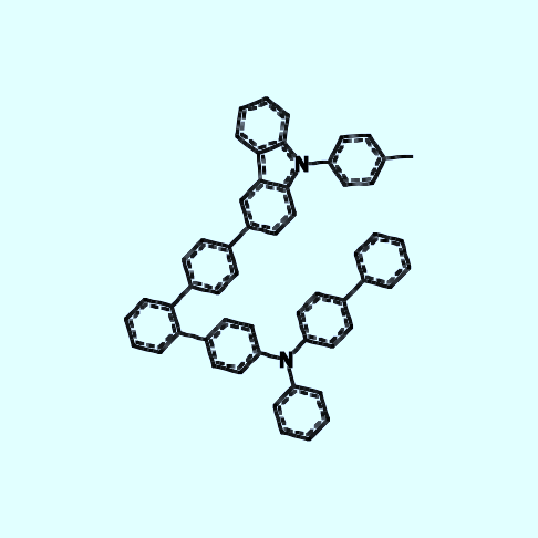 Cc1ccc(-n2c3ccccc3c3cc(-c4ccc(-c5ccccc5-c5ccc(N(c6ccccc6)c6ccc(-c7ccccc7)cc6)cc5)cc4)ccc32)cc1